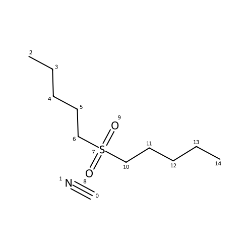 C#N.CCCCCS(=O)(=O)CCCCC